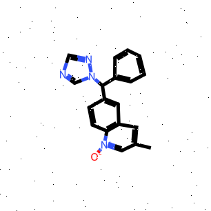 Cc1cc2cc(C(c3ccccc3)n3cncn3)ccc2[n+]([O-])c1